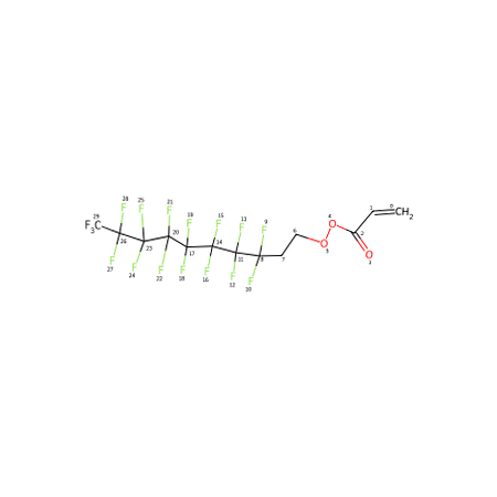 C=CC(=O)OOCCC(F)(F)C(F)(F)C(F)(F)C(F)(F)C(F)(F)C(F)(F)C(F)(F)C(F)(F)F